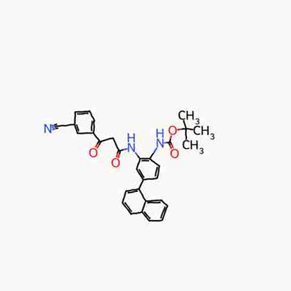 CC(C)(C)OC(=O)Nc1ccc(-c2cccc3ccccc23)cc1NC(=O)CC(=O)c1cccc(C#N)c1